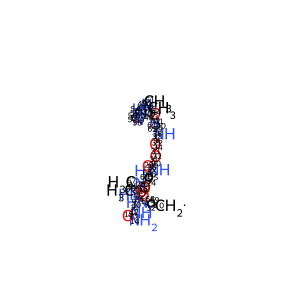 [CH2]c1ccc(NC(=O)[C@H](CCCNC(N)=O)NC(=O)[C@@H](NC(=O)c2ccc(NC(=O)CCOCCOCCNC3CCN(C(=O)CCn4c(CN(C)NC)cc5cccnc54)CC3)cc2)C(C)C)cc1